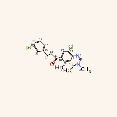 CCN(C)/C=N\c1cc(C)c(C(=O)CCc2cccc(F)c2)cc1Cl